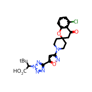 CC(C)(C)C(C(=O)O)n1nnc(-c2cc(N3CCC4(CC3)CC(=O)c3c(Cl)cccc3O4)no2)n1